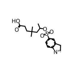 CC(CC(C)(C)CCC(=O)O)OS(=O)(=O)c1ccc2c(c1)CC=[N+]2